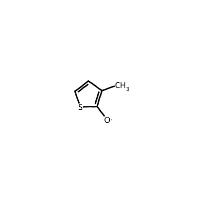 Cc1ccsc1[O]